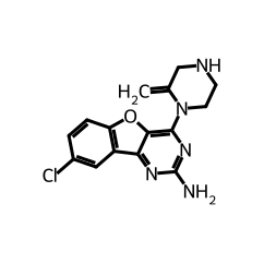 C=C1CNCCN1c1nc(N)nc2c1oc1ccc(Cl)cc12